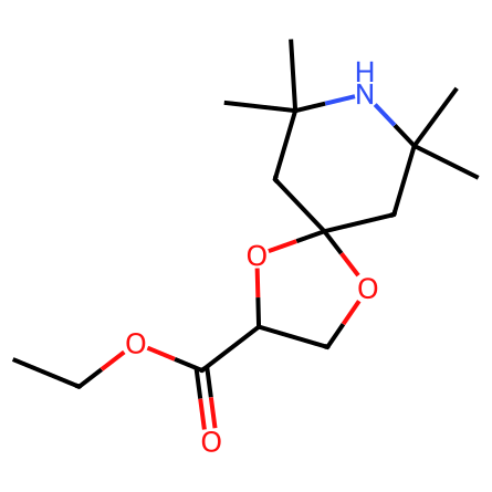 CCOC(=O)C1COC2(CC(C)(C)NC(C)(C)C2)O1